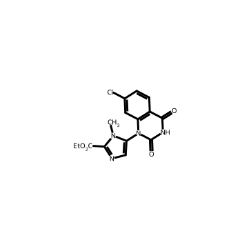 CCOC(=O)c1ncc(-n2c(=O)[nH]c(=O)c3ccc(Cl)cc32)n1C